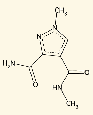 CNC(=O)c1cn(C)nc1C(N)=O